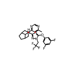 Cc1cc(N2CC3CCC(C2)C3Nc2nc(Oc3cc(F)cc(F)c3)n(CC(F)(F)F)n2)ncn1